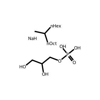 CCCCCCCCC(C)CCCCCC.O=P(O)(O)OCC(O)CO.[NaH]